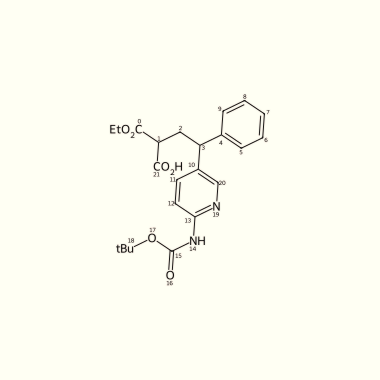 CCOC(=O)C(CC(c1ccccc1)c1ccc(NC(=O)OC(C)(C)C)nc1)C(=O)O